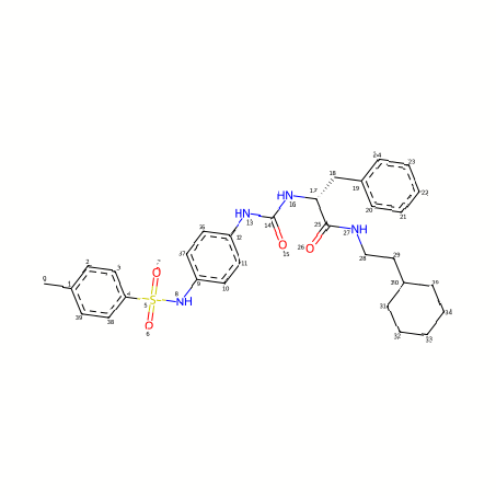 Cc1ccc(S(=O)(=O)Nc2ccc(NC(=O)N[C@H](Cc3ccccc3)C(=O)NCCC3CCCCC3)cc2)cc1